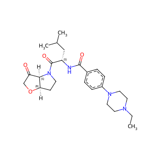 CCN1CCN(c2ccc(C(=O)N[C@@H](CC(C)C)C(=O)N3CC[C@H]4OCC(=O)[C@H]43)cc2)CC1